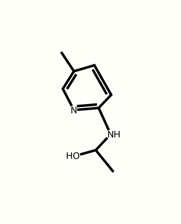 Cc1ccc(NC(C)O)nc1